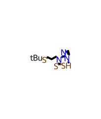 Cn1ccnc1N(CCCSC(C)(C)C)C(=S)S